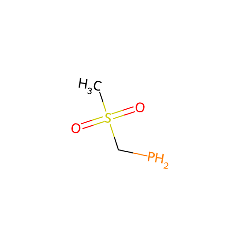 CS(=O)(=O)CP